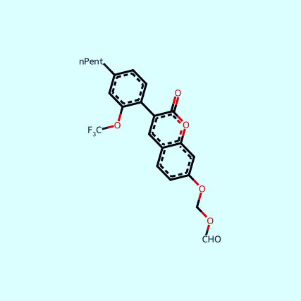 CCCCCc1ccc(-c2cc3ccc(OCOC=O)cc3oc2=O)c(OC(F)(F)F)c1